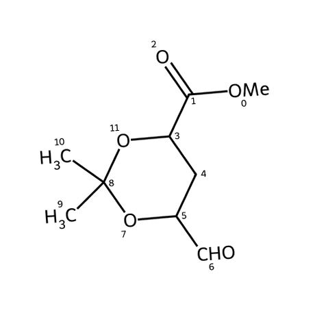 COC(=O)C1CC(C=O)OC(C)(C)O1